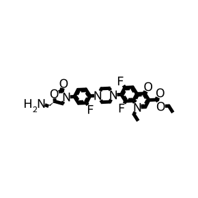 CCOC(=O)c1cn(CC)c2c(F)c(N3CCN(c4ccc(N5C[C@H](CN)OC5=O)cc4F)CC3)c(F)cc2c1=O